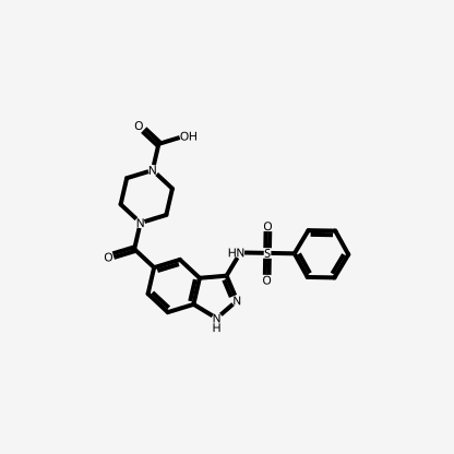 O=C(O)N1CCN(C(=O)c2ccc3[nH]nc(NS(=O)(=O)c4ccccc4)c3c2)CC1